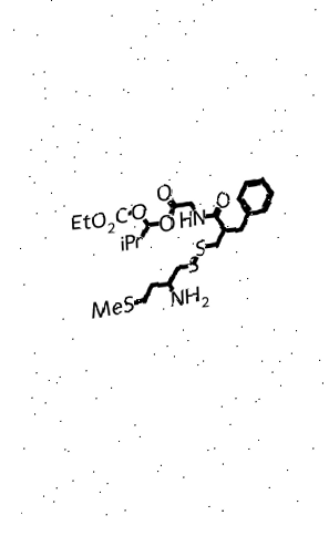 CCOC(=O)OC(OC(=O)CNC(=O)C(CSSCC(N)CCSC)Cc1ccccc1)C(C)C